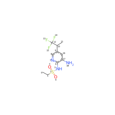 CCS(=O)(=O)Nc1ncc(C(C)C(F)(F)F)cc1N